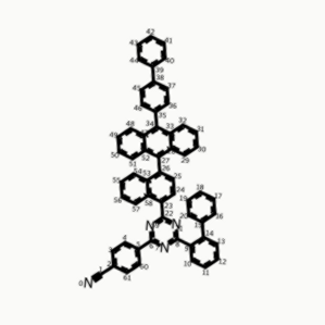 N#Cc1ccc(-c2nc(-c3ccccc3-c3ccccc3)nc(-c3ccc(-c4c5ccccc5c(-c5ccc(-c6ccccc6)cc5)c5ccccc45)c4ccccc34)n2)cc1